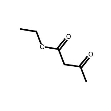 [CH2]COC(=O)CC(C)=O